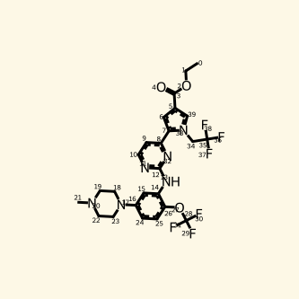 CCOC(=O)c1cc(-c2ccnc(Nc3cc(N4CCN(C)CC4)ccc3OC(F)(F)F)n2)n(CC(F)(F)F)c1